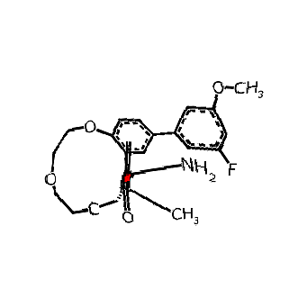 COc1cc(F)cc(-c2ccc3c(c2)[C@]2(CCCCOCCO3)N=C(N)N(C)C2=O)c1